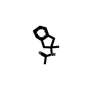 CC(=O)NC1(C)Cc2ccccc2C1